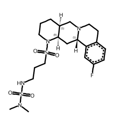 CN(C)S(=O)(=O)NCCCS(=O)(=O)N1CCC[C@H]2CN3CCc4ccc(F)cc4[C@@H]3C[C@H]21